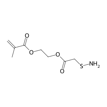 C=C(C)C(=O)OCCOC(=O)CSN